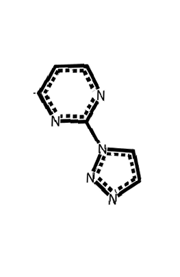 [c]1ccnc(-n2ccnn2)n1